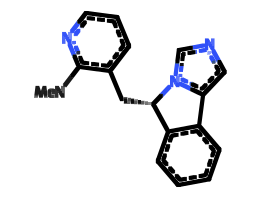 CNc1ncccc1C[C@H]1c2ccccc2-c2cncn21